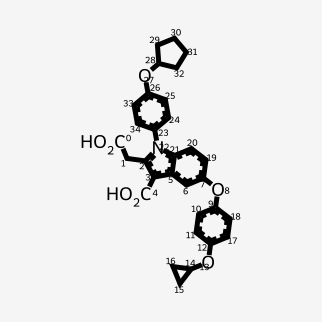 O=C(O)Cc1c(C(=O)O)c2cc(Oc3ccc(OC4CC4)cc3)ccc2n1-c1ccc(OC2CCCC2)cc1